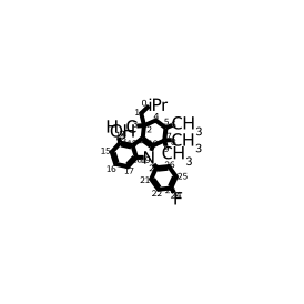 CC(C)CC1(C)CC(C)C(C)(C)c2c1c1c(O)cccc1n2-c1ccc(F)cc1